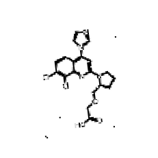 O=C(O)COCC1CCCN1c1cc(-n2ccnc2)c2ccc(Cl)c(Cl)c2n1